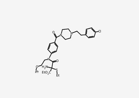 CCOC(=O)[C@](N)(SCC)C(=O)N(CCOC(C)C)c1ccc(C(=O)N2CCN(CCc3ccc(Cl)cc3)CC2)cc1